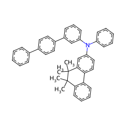 CC1(C)c2ccccc2-c2ccc(N(c3ccccc3)c3cccc(-c4ccc(-c5ccccc5)cc4)c3)cc2C1(C)C